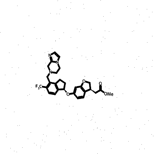 COC(=O)C[C@@H]1COc2cc(O[C@@H]3CCc4c3ccc(C(F)(F)F)c4CN3CCn4ccnc4C3)ccc21